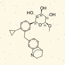 CO[C@H]1O[C@@H](c2ccc(C3CC3)c(Cc3ccc4c(c3)N3CCC4CC3)c2)[C@H](O)[C@@H](O)[C@@H]1O